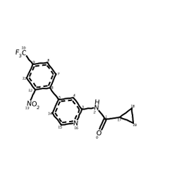 O=C(Nc1cc(-c2ccc(C(F)(F)F)cc2[N+](=O)[O-])ccn1)C1CC1